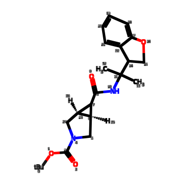 CC(C)(C)OC(=O)N1C[C@@H]2C(C(=O)NC(C)(C)C3COc4ccccc43)[C@@H]2C1